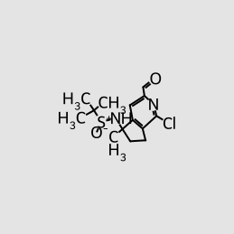 CC1(N[S+]([O-])C(C)(C)C)CCc2c1cc(C=O)nc2Cl